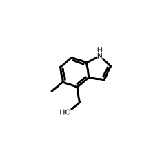 Cc1ccc2[nH]ccc2c1CO